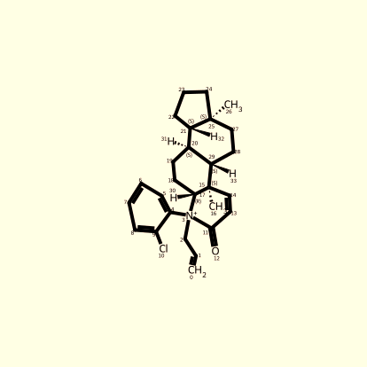 C=CC[N+]1(c2ccccc2Cl)C(=O)C=C[C@@]2(C)[C@H]1CC[C@H]1[C@@H]3CCC[C@@]3(C)CC[C@@H]12